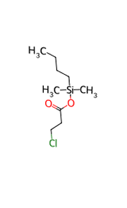 CCCC[Si](C)(C)OC(=O)CCCl